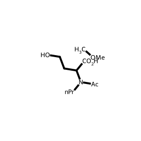 CCCN(C(C)=O)C(CCO)C(=O)O.COC